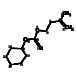 C=C(C)CCOC(=O)OC1CCCCC1